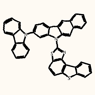 c1ccc2cc3c(cc2c1)c1ccc(-n2c4ccccc4c4ccccc42)cc1n3-c1nc2c(ccc3sc4ccccc4c32)s1